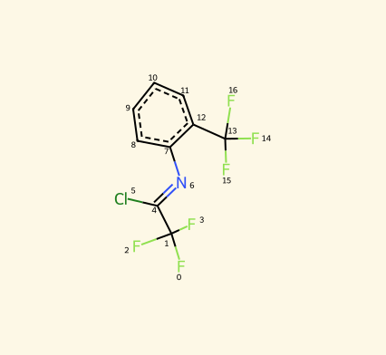 FC(F)(F)C(Cl)=Nc1ccccc1C(F)(F)F